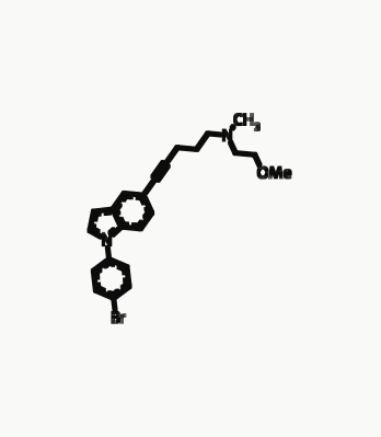 COCCN(C)CCCC#Cc1ccc2c(ccn2-c2ccc(Br)cc2)c1